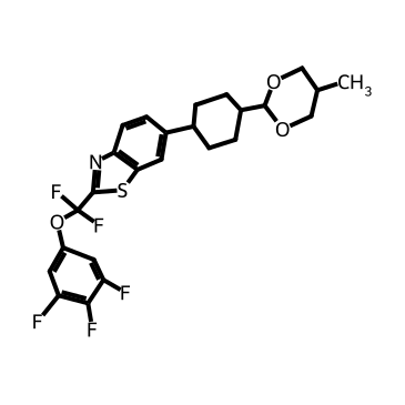 CC1COC(C2CCC(c3ccc4nc(C(F)(F)Oc5cc(F)c(F)c(F)c5)sc4c3)CC2)OC1